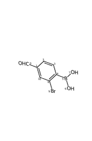 O=Cc1ccc(B(O)O)c(Br)c1